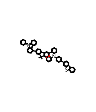 CC1(C)c2ccc(-c3ccccc3N(c3ccccc3)c3ccc(-c4ccc5c(c4)sc4ccccc45)cc3)cc2-c2ccc(-c3cccc4c3c3ccccc3n4-c3ccccc3)cc21